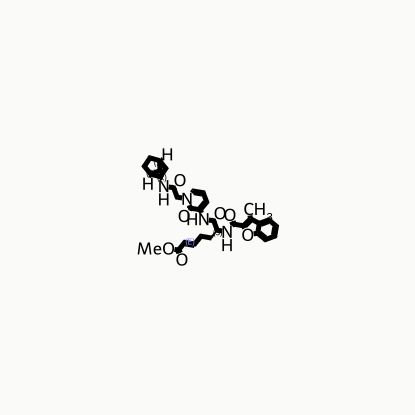 COC(=O)/C=C/CC[C@H](NC(=O)c1oc2ccccc2c1C)C(=O)Nc1cccn(CC(=O)N[C@@H]2C[C@H]3CC[C@@H]2C3)c1=O